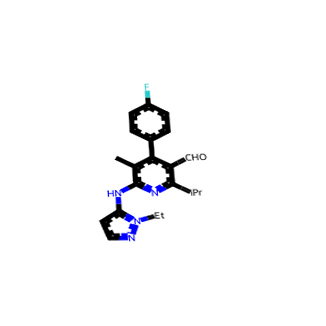 CCn1nccc1Nc1nc(C(C)C)c(C=O)c(-c2ccc(F)cc2)c1C